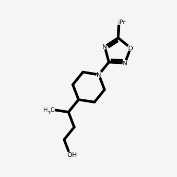 CC(C)c1nc(N2CCC(C(C)CCO)CC2)no1